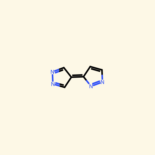 C1=CC(=C2C=NN=C2)N=N1